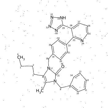 CCCCc1c(C)n(Cc2ccccc2)c(=O)n1Cc1ccc(-c2ncccc2-c2nnn[nH]2)cc1